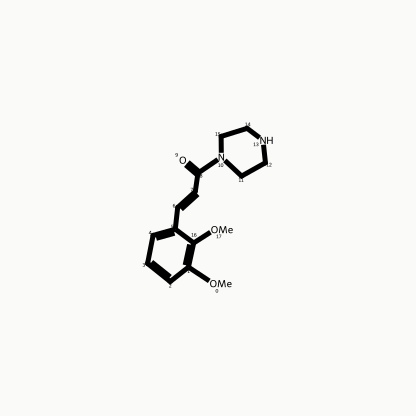 COc1cccc(C=CC(=O)N2CCNCC2)c1OC